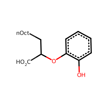 CCCCCCCCCC(Oc1ccccc1O)C(=O)O